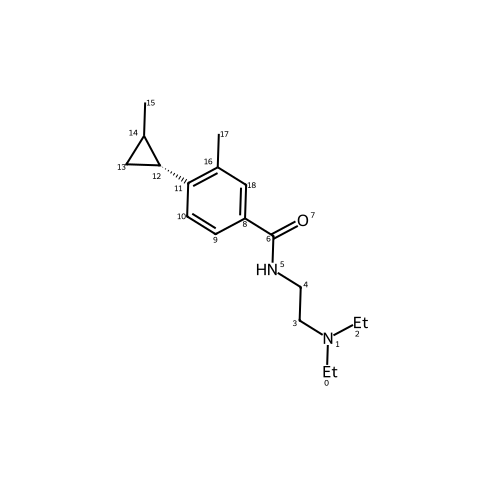 CCN(CC)CCNC(=O)c1ccc([C@@H]2CC2C)c(C)c1